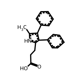 Cc1[nH]c(CCC(=O)O)c(-c2ccccc2)c1-c1ccccc1